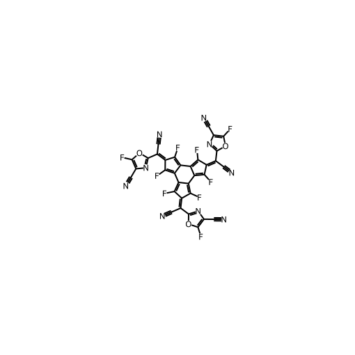 N#CC(=C1C(F)=c2c3c(c4c(c2=C1F)=C(F)C(=C(C#N)c1nc(C#N)c(F)o1)C=4F)=C(F)C(=C(C#N)c1nc(C#N)c(F)o1)C=3F)c1nc(C#N)c(F)o1